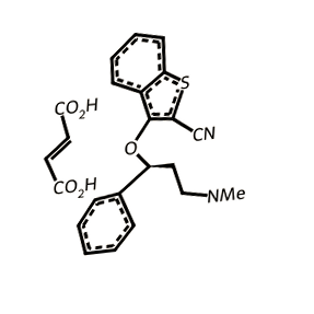 CNCC[C@H](Oc1c(C#N)sc2ccccc12)c1ccccc1.O=C(O)/C=C/C(=O)O